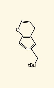 CC(C)(C)Cc1ccc2c(c1)CC=CO2